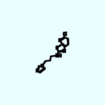 Clc1ccc2nc(NCCCn3ccnc3)sc2n1